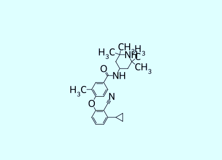 Cc1cc(C(=O)NC2CC(C)(C)NC(C)(C)C2)ccc1Oc1cccc(C2CC2)c1C#N